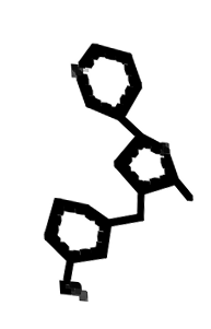 Cc1sc(-c2cccnc2)cc1Cc1cccc([N+](=O)[O-])c1